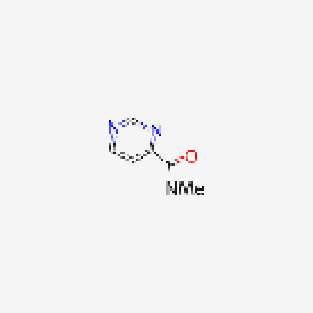 CNC(=O)c1ccncn1